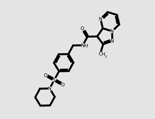 CC1=NN2C=CC=NC2C1C(=O)NCc1ccc(S(=O)(=O)N2CCCCC2)cc1